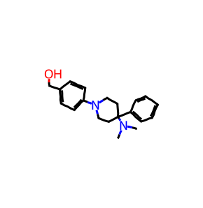 CN(C)C1(c2ccccc2)CCN(c2ccc(CO)cc2)CC1